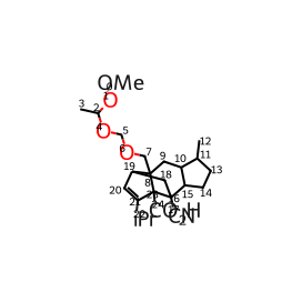 COOC(C)OCOCC12CC3C(C)CCC3C3(C#N)CC1C=C(C(C)C)C32C(=O)O